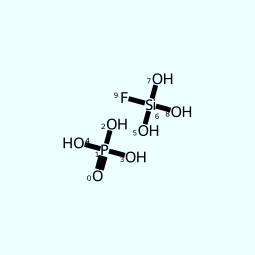 O=P(O)(O)O.O[Si](O)(O)F